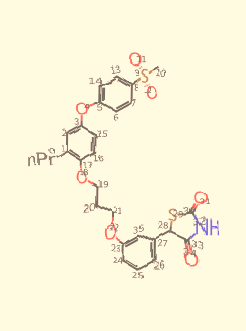 CCCc1cc(Oc2ccc(S(C)(=O)=O)cc2)ccc1OCCCOc1cccc(C2SC(=O)NC2=O)c1